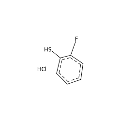 Cl.Fc1ccccc1S